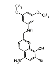 Bc1cc(Br)c(O)c2nc(CNc3cc(OC)cc(OC)c3)ccc12